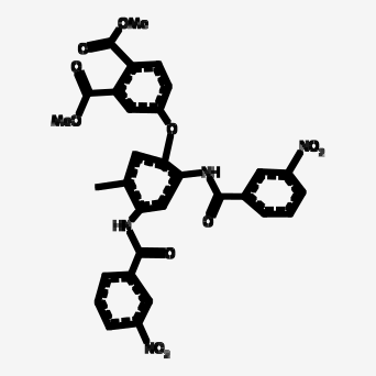 COC(=O)c1ccc(Oc2cc(C)c(NC(=O)c3cccc([N+](=O)[O-])c3)cc2NC(=O)c2cccc([N+](=O)[O-])c2)cc1C(=O)OC